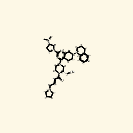 CN(C)[C@@H]1CCN(c2nc3c(c(N4CCN(C(=O)/C=C/CN5CCCC5)[C@@H](CC#N)C4)n2)CC[C@H](N2CCCc4ccccc42)C3)C1